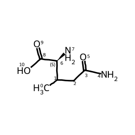 CC(CC(N)=O)[C@H](N)C(=O)O